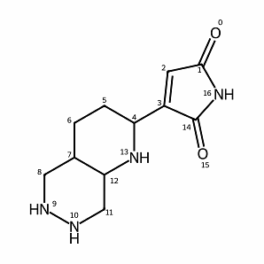 O=C1C=C(C2CCC3CNNCC3N2)C(=O)N1